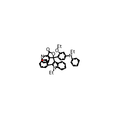 CCOc1cc(N(CC)c2ccccc2)ccc1C1(c2c(-c3ccccc3)n(CC)c3ccccc23)OC(=O)c2ncccc21